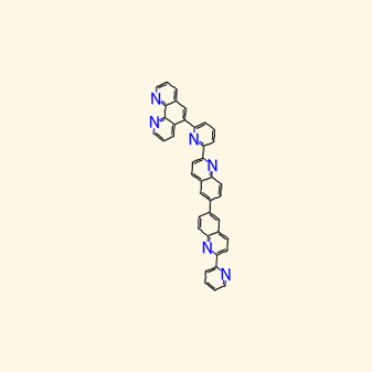 c1ccc(-c2ccc3cc(-c4ccc5nc(-c6cccc(-c7cc8cccnc8c8ncccc78)n6)ccc5c4)ccc3n2)nc1